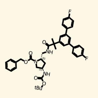 CC(C)(C)OC(=O)N[C@H]1C[C@@H](CNC(=O)C(C)(C)c2cc(-c3ccc(F)cc3)cc(-c3ccc(F)cc3)c2)N(C(=O)OCc2ccccc2)C1